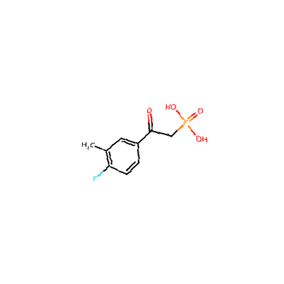 Cc1cc(C(=O)CP(=O)(O)O)ccc1F